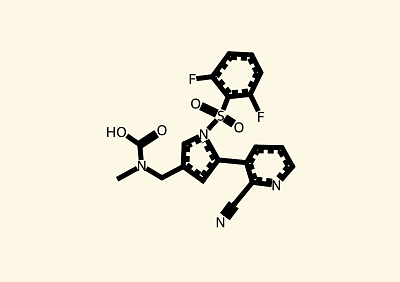 CN(Cc1cc(-c2cccnc2C#N)n(S(=O)(=O)c2c(F)cccc2F)c1)C(=O)O